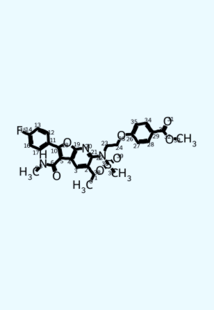 CCc1cc2c(C(=O)NC)c(-c3ccc(F)cc3)oc2nc1N(CCOc1ccc(C(=O)OC)cc1)S(C)(=O)=O